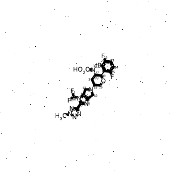 Cn1nnc(-c2nc3c(n2C(F)F)CN([C@H]2CO[C@H](c4cc(F)ccc4F)[C@@H](N(C(=O)O)C(C)(C)C)C2)C3)n1